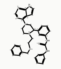 O=C(Nc1ccccc1)Nc1cccc(C2CN(c3ncnc4[nH]ccc34)CCN2CCOCc2ccccc2)c1